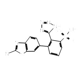 CS(=O)(=O)c1cccc(-c2ccc3nc(N)sc3c2)c1-c1nnn[nH]1